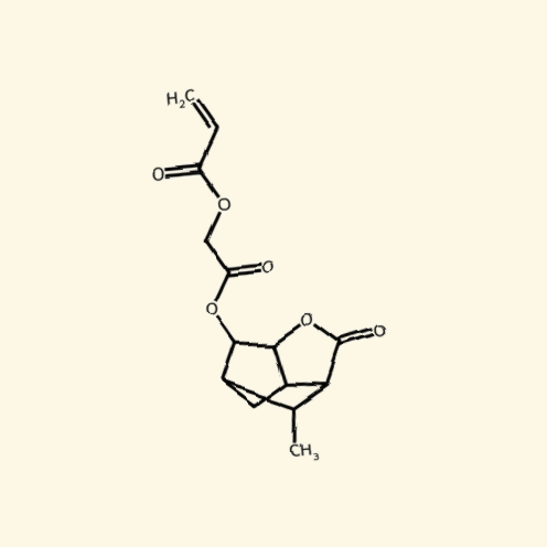 C=CC(=O)OCC(=O)OC1C2CC3C1OC(=O)C3C2C